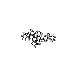 c1ccc(-c2cc(-c3ccccc3)c3ccccc3c2-c2c3ccccc3c(-c3ccc4c(c3)oc3ccccc34)c3ccccc23)cc1